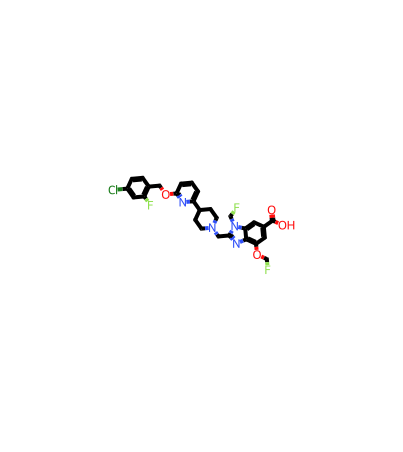 O=C(O)c1cc(OCF)c2nc(CN3CCC(c4cccc(OCc5ccc(Cl)cc5F)n4)CC3)n(CF)c2c1